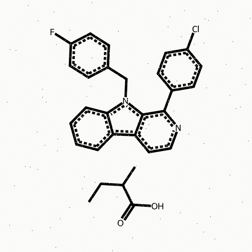 CCC(C)C(=O)O.Fc1ccc(Cn2c3ccccc3c3ccnc(-c4ccc(Cl)cc4)c32)cc1